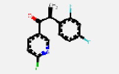 C=C(C(=O)c1ccc(Cl)nc1)c1ccc(F)cc1F